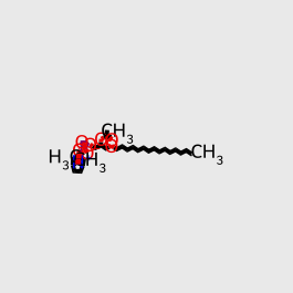 CCCCCCCCCCCCCCCCOCC(COP(=O)([O-])OC1CC2CCC(C1)[N+]2(C)C)OC(C)=O